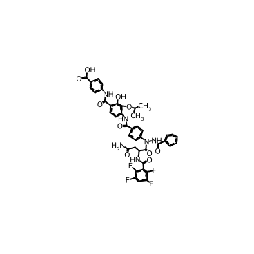 CC(C)Oc1c(NC(=O)c2ccc(N(NC(=O)c3ccccc3)C(=O)C(CC(N)=O)NC(=O)c3c(F)c(F)cc(F)c3F)cc2)ccc(C(=O)Nc2ccc(C(=O)O)cc2)c1O